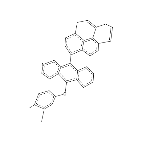 Cc1ccc(Oc2c3ccccc3c(-c3ccc4c5c6c(ccc35)C=CCC6=CC4)c3cnccc23)cc1C